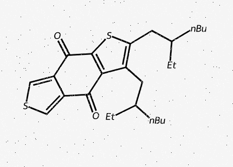 CCCCC(CC)Cc1sc2c(c1CC(CC)CCCC)C(=O)c1cscc1C2=O